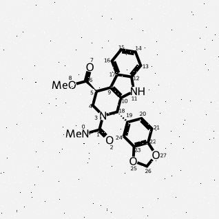 CNC(=O)N1C[C@@H](C(=O)OC)c2c([nH]c3ccccc23)[C@@H]1c1ccc2c(c1)OCO2